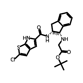 CC(C)(C)OC(=O)CN[C@H]1c2ccccc2C[C@H]1NC(=O)c1cc2cc(Cl)sc2[nH]1